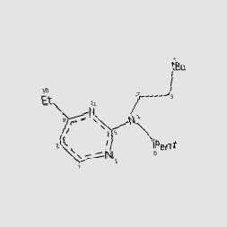 CCCC(C)N(CCC(C)(C)C)c1nccc(CC)n1